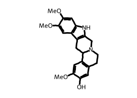 COc1cc2c(cc1O)CCN1Cc3[nH]c4cc(OC)c(OC)cc4c3CC21